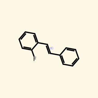 Fc1ccccc1/C=C/c1ccccc1